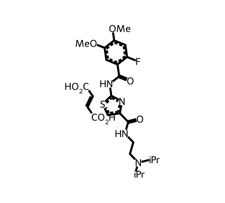 COc1cc(F)c(C(=O)Nc2nc(C(=O)NCCN(C(C)C)C(C)C)cs2)cc1OC.O=C(O)C=CC(=O)O